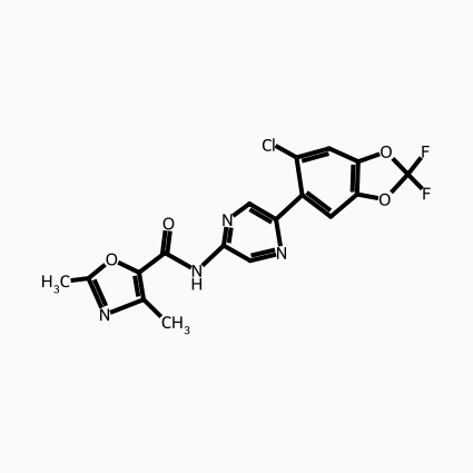 Cc1nc(C)c(C(=O)Nc2cnc(-c3cc4c(cc3Cl)OC(F)(F)O4)cn2)o1